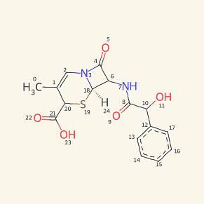 CC1=CN2C(=O)C(NC(=O)C(O)c3ccccc3)[C@H]2SC1C(=O)O